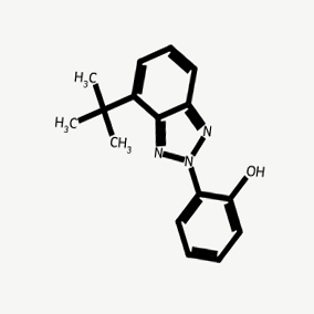 CC(C)(C)c1cccc2nn(-c3ccccc3O)nc12